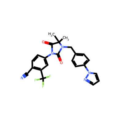 CC1(C)C(=O)N(c2ccc(C#N)c(C(F)(F)F)c2)C(=O)N1Cc1ccc(-n2cccn2)cc1